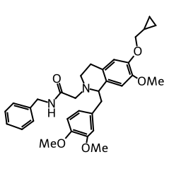 COc1ccc(CC2c3cc(OC)c(OCC4CC4)cc3CCN2CC(=O)NCc2ccccc2)cc1OC